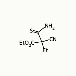 CCOC(=O)C(C#N)(CC)C(N)=S